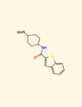 CNC1CCC(NC(=O)c2cc3ccccc3s2)CC1